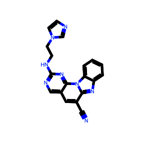 N#Cc1cc2cnc(NCCn3ccnc3)nc2n2c1nc1ccccc12